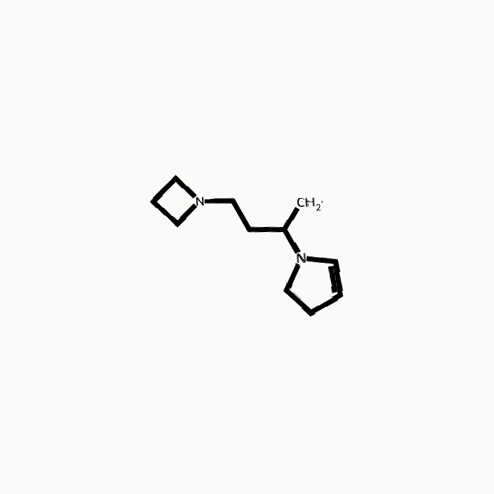 [CH2]C(CCN1CCC1)N1C=CCC1